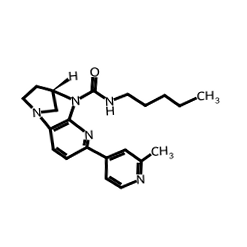 CCCCCNC(=O)N1c2nc(-c3ccnc(C)c3)ccc2N2CC[C@H]1C2